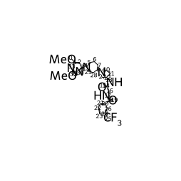 COc1cc(N2CCC[C@@H](N3CCC(NC(=O)CNC(=O)c4cccc(C(F)(F)F)c4)C3)CC2)nc(OC)n1